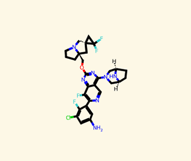 Nc1cc(Cl)c(F)c(-c2ncc3c(N4C[C@H]5CC[C@@H](C4)N5)nc(OC[C@@]45CCCN4C[C@@]4(CC4(F)F)C5)nc3c2F)c1